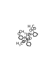 COC(=O)c1ccccc1NC(=O)CN(c1cc(OC)ccc1OC)S(=O)(=O)c1ccccc1